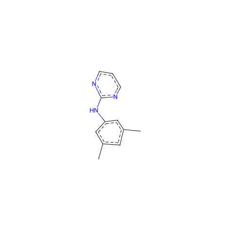 Cc1cc(C)cc(Nc2ncccn2)c1